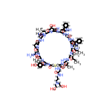 CCCC[C@H]1C(=O)N(C)[C@@H](CCCC)C(=O)N[C@@H](CC(C)C)C(=O)N[C@H](C(=O)NCC(=O)NCCCN(CCO)CCO)CSCC(=O)N[C@@H](Cc2ccc(O)cc2)C(=O)N(C)[C@@H](C)C(=O)N[C@@H](CC(N)=O)C(=O)N2CCC[C@H]2C(=O)N[C@@H](CN)C(=O)N[C@@H](CC(C)C)C(=O)N2C[C@H](O)C[C@H]2C(=O)N[C@@H](Cc2c[nH]c3ccccc23)C(=O)NCC(=O)NC(Cc2c[nH]c3ccccc23)C(=O)N1C